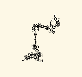 CCCNC(=O)Nc1cccc(S(=O)(=O)Nc2cccc(C(CC(=O)O)NC(=O)Nc3ccc(NC(=O)NCCOCCOCCOCCC(=O)NC(C(=O)NC(C)C(=O)Nc4ccc(COC(=O)NCC(=O)N=S(C)(=O)Cc5cc6cc(c5)OCCCCOc5cc(F)ccc5-c5nc(ncc5F)N6)cc4)C(C)C)cc3)c2)c1